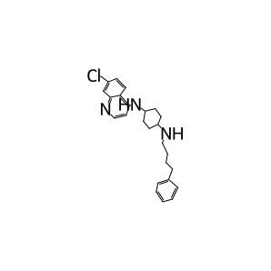 Clc1ccc2c(NC3CCC(NCCCCc4ccccc4)CC3)ccnc2c1